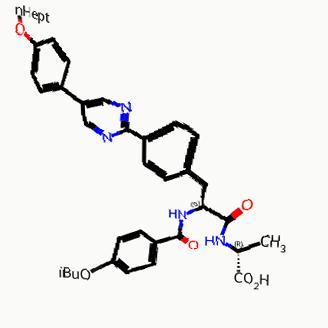 CCCCCCCOc1ccc(-c2cnc(-c3ccc(C[C@H](NC(=O)c4ccc(OCC(C)C)cc4)C(=O)N[C@H](C)C(=O)O)cc3)nc2)cc1